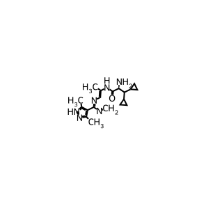 C=N/C(=N\C=C(/C)NC(=O)[C@@H](N)C(C1CC1)C1CC1)c1c(C)n[nH]c1C